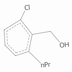 CCCc1cccc(Cl)c1CO